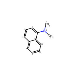 CN(C)c1cccc2ccccc12